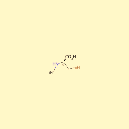 CC(C)N[C@H](CS)C(=O)O